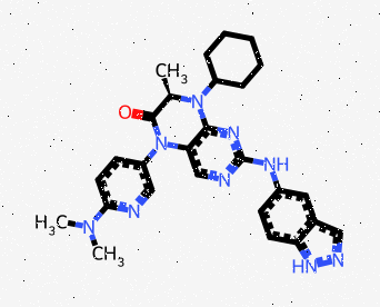 C[C@@H]1C(=O)N(c2ccc(N(C)C)nc2)c2cnc(Nc3ccc4[nH]ncc4c3)nc2N1C1CCCCC1